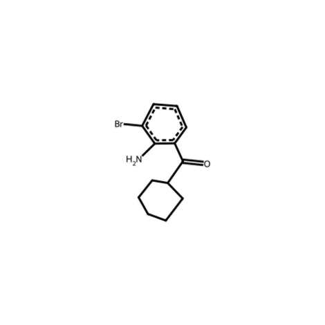 Nc1c(Br)cccc1C(=O)C1CCCCC1